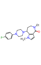 CCN1CCC(N2CCN(c3ccc(F)cc3)CC2)c2c(ccn2C)C1=O